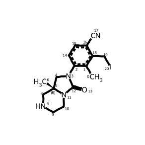 Cc1c(N2C[C@@]3(C)CNCCN3C2=O)ccc(C#N)c1CI